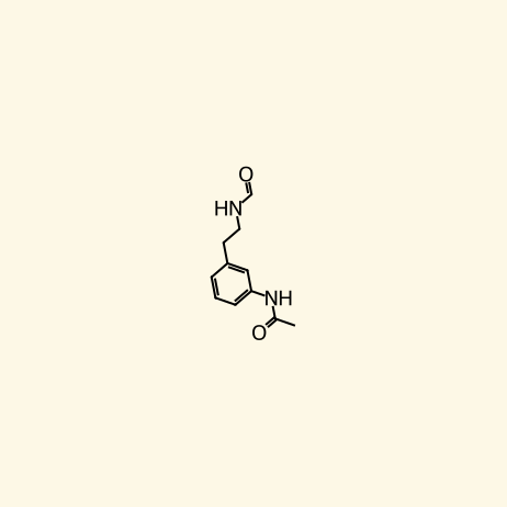 CC(=O)Nc1cccc(CCNC=O)c1